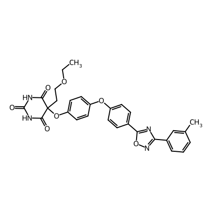 CCOCCC1(Oc2ccc(Oc3ccc(-c4nc(-c5cccc(C)c5)no4)cc3)cc2)C(=O)NC(=O)NC1=O